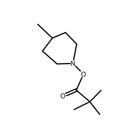 CC1CCN(OC(=O)C(C)(C)C)CC1